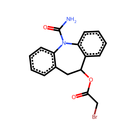 NC(=O)N1c2ccccc2CC(OC(=O)CBr)c2ccccc21